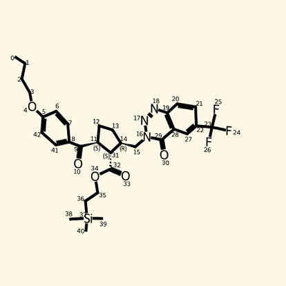 CCCCOc1ccc(C(=O)[C@H]2CC[C@@H](Cn3nnc4ccc(C(F)(F)F)cc4c3=O)[C@@H]2C(=O)OCC[Si](C)(C)C)cc1